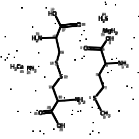 CSCCC(N)C(=O)O.NC(CSSCC(N)C(=O)O)C(=O)O.P.S.[CaH2].[MgH2]